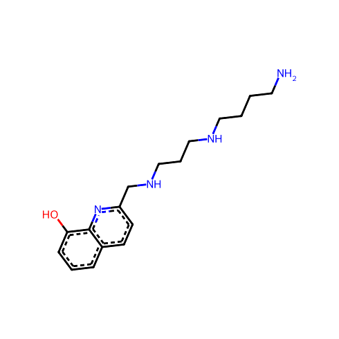 NCCCCNCCCNCc1ccc2cccc(O)c2n1